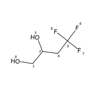 OCC(O)CC(F)(F)F